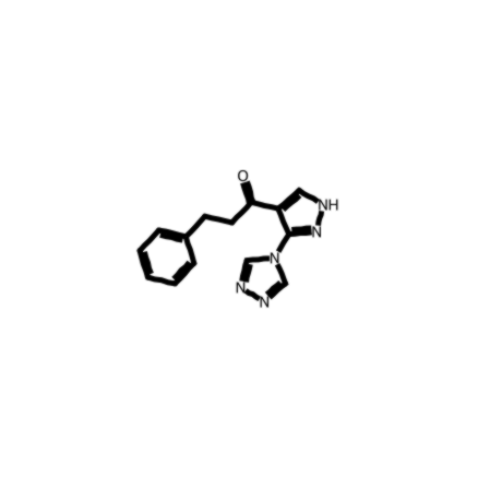 O=C(CCc1ccccc1)c1c[nH]nc1-n1cnnc1